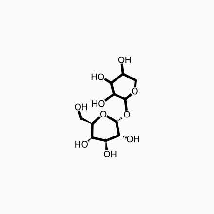 OC[C@H]1O[C@H](OC2OCC(O)C(O)C2O)[C@H](O)[C@@H](O)[C@@H]1O